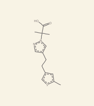 Cc1cc(CCc2cnn(C(C)(C)C(=O)O)c2)cs1